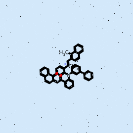 C/C(=C\c1ccc2ccccc2c1C)c1ccccc1N(c1c#ccc(-c2ccccc2)c1)c1ccccc1-c1ccc2c(ccc3ccccc32)c1